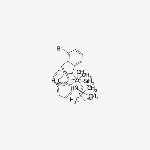 CC1=Cc2c(Br)cccc2[CH]1[Zr]([CH3])([CH3])(=[SiH2])([NH]C(C)(C)C)([c]1ccccc1)([c]1ccccc1)[c]1ccccc1